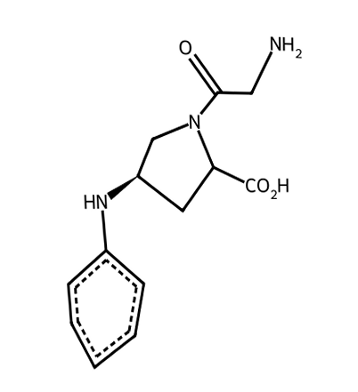 NCC(=O)N1C[C@H](Nc2ccccc2)CC1C(=O)O